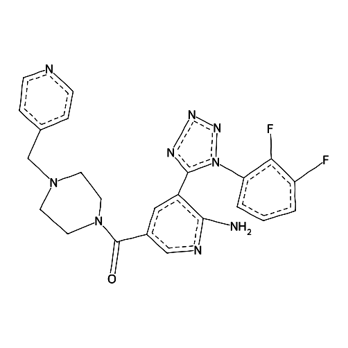 Nc1ncc(C(=O)N2CCN(Cc3ccncc3)CC2)cc1-c1nnnn1-c1cccc(F)c1F